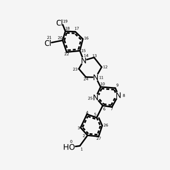 OCc1ccc(-c2cncc(N3CCN(c4ccc(Cl)c(Cl)c4)CC3)n2)cc1